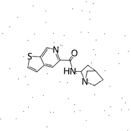 O=C(NC1CC2CCN1C2)c1cc2ccsc2cn1